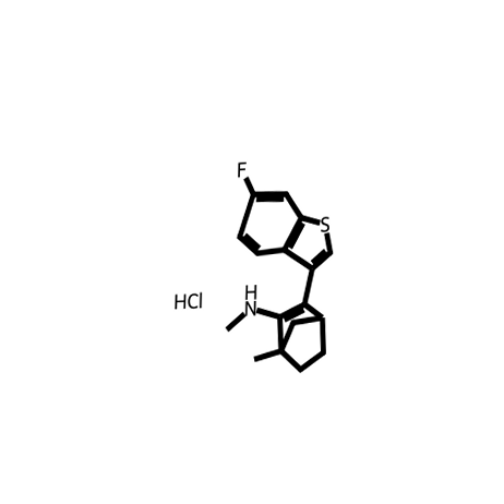 CNC1=C(c2csc3cc(F)ccc23)C2CCC1(C)C2.Cl